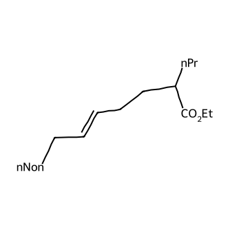 CCCCCCCCCCC=CCCC(CCC)C(=O)OCC